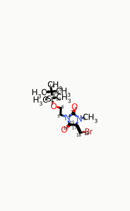 CN1C(=O)N(CCO[Si](C)(C)C(C)(C)C)C(=O)/C1=C/Br